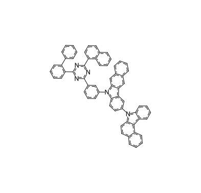 c1ccc(-c2ccccc2-c2nc(-c3cccc(-n4c5ccc(-n6c7ccccc7c7c8ccccc8ccc76)cc5c5cc6ccccc6cc54)c3)nc(-c3cccc4ccccc34)n2)cc1